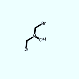 ON(CBr)CBr